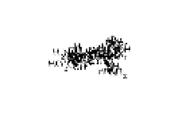 CC[C@H](C)[C@H](NC(=O)[C@@H](CCCNC(=N)N)NC(=O)[C@H](CC(C)C)NC(=O)[C@@H](NC(=O)OC(C)(C)C)[C@H](O)C(C)C)C(=O)N[C@H](C(=O)NCC(=O)N[C@H](C(=O)N[C@@H](CO)C(=O)O)[C@H](O)C(N)=O)[C@H](C)O